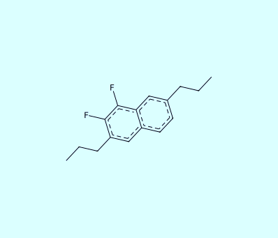 CCCc1ccc2cc(CCC)c(F)c(F)c2c1